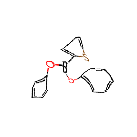 c1ccc(OB(Oc2ccccc2)c2cccs2)cc1